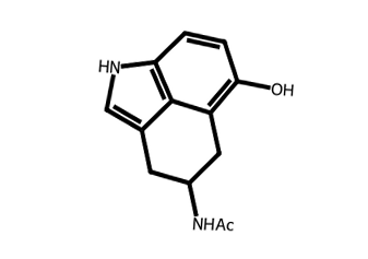 CC(=O)NC1Cc2c[nH]c3ccc(O)c(c23)C1